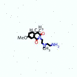 COc1ccc2c(c1)C(=O)N(CCN(C)CCN)C(=O)C2(C)C